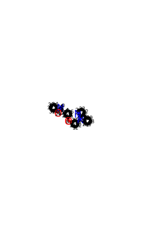 CN1B(c2cccc(Oc3cccc(-n4c5ccccc5c5cccnc54)c3)c2)Oc2ccccc21